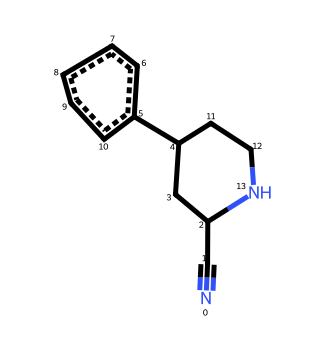 N#CC1CC(c2ccccc2)CCN1